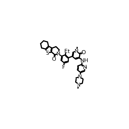 CCc1c(-c2cc(Nc3ccc(N4CCN(C)CC4)cn3)c(=O)n(C)c2)cc(F)cc1N1CCc2c(sc3c2CCCC3)C1=O